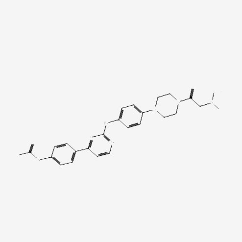 CCCC(=O)Nc1ccc(-c2ccnc(Nc3ccc(N4CCN(C(=O)CN(C)C)CC4)cc3)n2)cc1